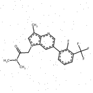 Cc1cn(CC(=O)N(C)C)c2cc(-c3cccc(C(F)(F)F)c3F)cnc12